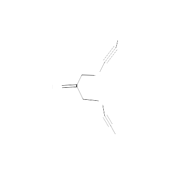 C=C(COC#CC)COC#CC